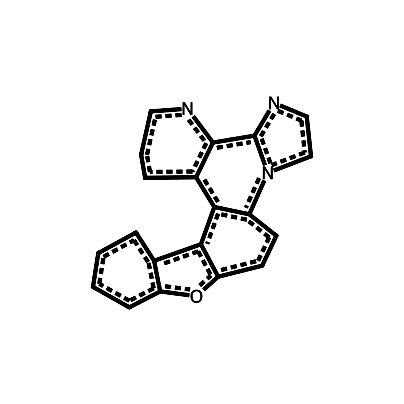 c1ccc2c(c1)oc1ccc3c(c4cccnc4c4nccn34)c12